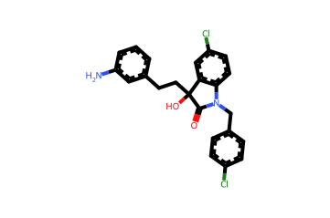 Nc1cccc(CCC2(O)C(=O)N(Cc3ccc(Cl)cc3)c3ccc(Cl)cc32)c1